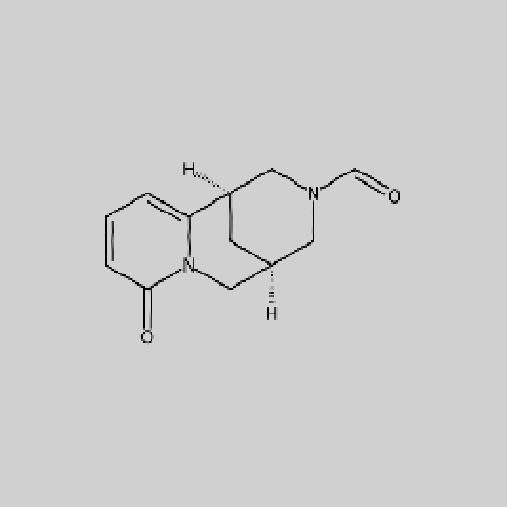 O=CN1C[C@@H]2C[C@H](C1)c1cccc(=O)n1C2